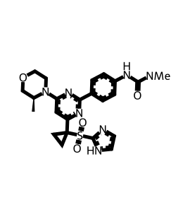 CNC(=O)Nc1ccc(-c2nc(N3CCOC[C@@H]3C)cc(C3(S(=O)(=O)c4ncc[nH]4)CC3)n2)cc1